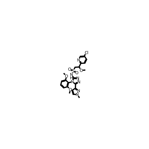 COc1cccc(OC)c1-n1c(NS(=O)(=O)CC(OC)c2ccc(Cl)cn2)nnc1-c1ccn(C)n1